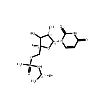 CC(C)[C@H](C)NP(C)(=O)OC[C@@]1(F)O[C@@H](n2ccc(=O)[nH]c2=O)[C@@H](O)C1O